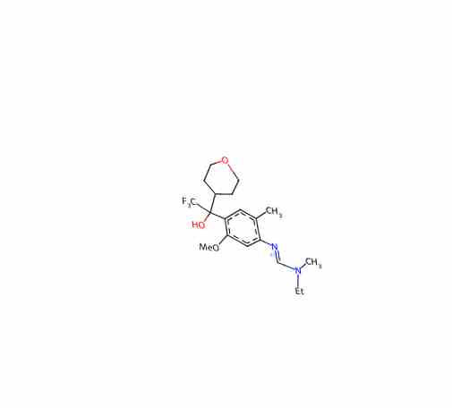 CCN(C)/C=N/c1cc(OC)c(C(O)(C2CCOCC2)C(F)(F)F)cc1C